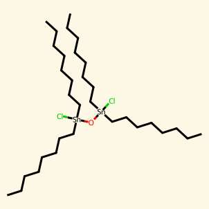 CCCCCCC[CH2][Sn]([Cl])([CH2]CCCCCCC)[O][Sn]([Cl])([CH2]CCCCCCC)[CH2]CCCCCCC